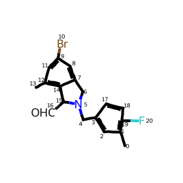 Cc1cc(CN2Cc3cc(Br)cc(C)c3C2C=O)ccc1F